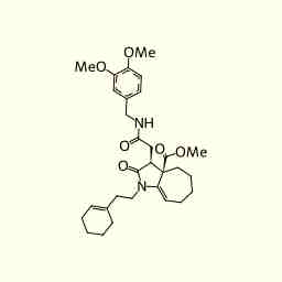 COC(=O)[C@@]12CCCCC=C1N(CCC1=CCCCC1)C(=O)[C@H]2CC(=O)NCc1ccc(OC)c(OC)c1